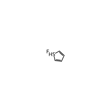 F[SH]1C=CC=C1